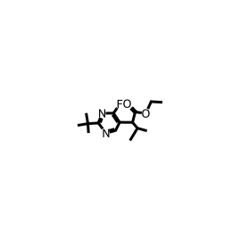 CCOC(=O)C(c1cnc(C(C)(C)C)nc1F)C(C)C